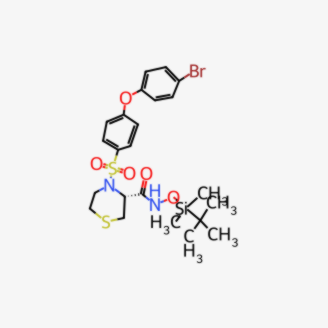 CC(C)(C)[Si](C)(C)ONC(=O)[C@@H]1CSCCN1S(=O)(=O)c1ccc(Oc2ccc(Br)cc2)cc1